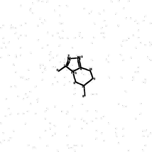 Cc1nnc2n1CC(C)CC2